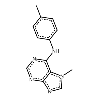 Cc1ccc(Nc2ncnc3ncn(C)c23)cc1